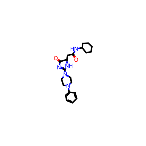 O=C(CC1NC(N2CCN(c3ccccc3)CC2)=NC1=O)NC1CCCCC1